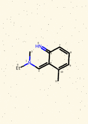 CCN(C)/C=C1\C(=N)C=CC=C1C